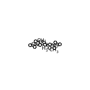 CC1(C)c2ccccc2N(c2cccc3c2oc2ccccc23)c2ccc3c(sc4cc5c(cc43)sc3c4c(ccc35)N(c3cccc5c3oc3ccccc35)c3ccccc3C4(C)C)c21